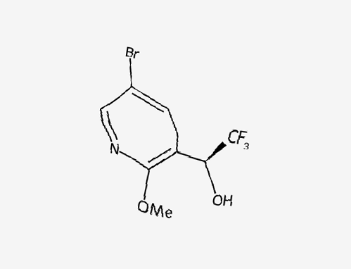 COc1ncc(Br)cc1[C@H](O)C(F)(F)F